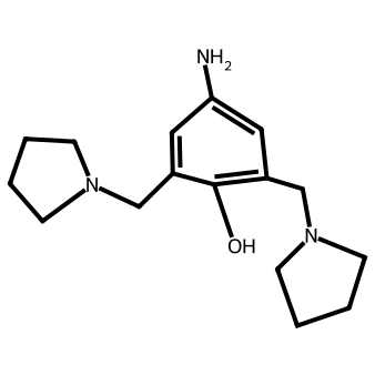 Nc1cc(CN2CCCC2)c(O)c(CN2CCCC2)c1